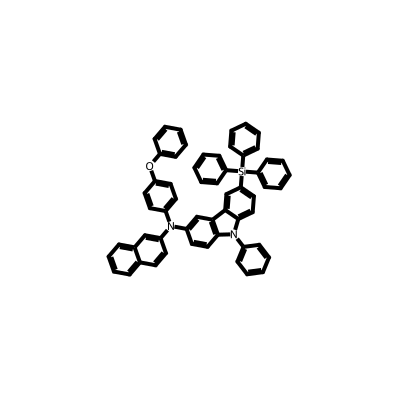 c1ccc(Oc2ccc(N(c3ccc4ccccc4c3)c3ccc4c(c3)c3cc([Si](c5ccccc5)(c5ccccc5)c5ccccc5)ccc3n4-c3ccccc3)cc2)cc1